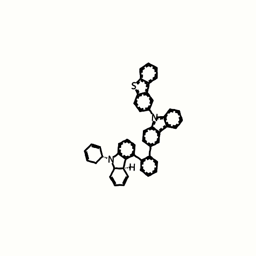 C1=CC[C@@H](N2c3cccc(-c4ccccc4-c4ccc5c(c4)c4ccccc4n5-c4ccc5sc6ccccc6c5c4)c3[C@H]3C=CC=CC32)C=C1